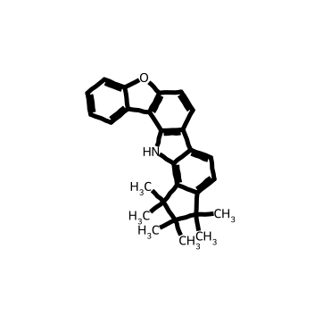 CC1(C)c2ccc3c([nH]c4c3ccc3oc5ccccc5c34)c2C(C)(C)C1(C)C